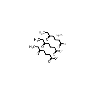 CCC(=O)CCCC(=O)[O-].CCC(=O)CCCC(=O)[O-].CCC(=O)CCCC(=O)[O-].[Fe+3]